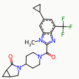 Cn1c(C(=O)N2CCC(N3CC4CC4C3=O)CC2)nc2c(C(F)(F)F)cc(C3CC3)cc21